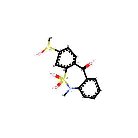 CN1c2ccccc2C(=O)c2ccc([S+](C)[O-])cc2S1(=O)=O